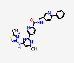 Cc1cc(Nc2nsc(C)n2)nc(-c2ccc(C(=O)NCc3ccc(-c4ccccc4)nc3)nc2)n1